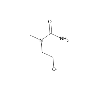 CN(CC[O])C(N)=O